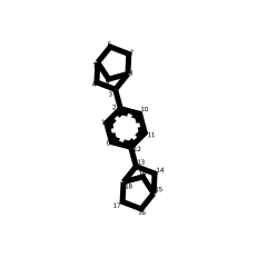 c1cc(C2CC3CCC2C3)ccc1C1CC2CCC1C2